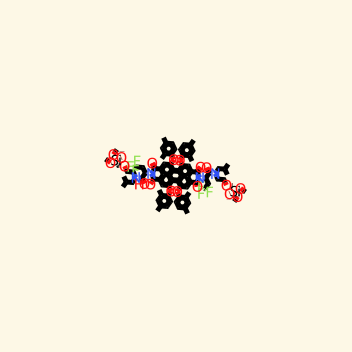 CO[Si](COCCN(CC(C)C)C(=O)C(CC(F)(F)F)N1C(=O)c2cc(Oc3ccc(C)cc3C)c3c4c(Oc5ccc(C)cc5C)cc5c6c(cc(Oc7ccc(C)cc7C)c(c7c(Oc8ccc(C)cc8C)cc(c2c37)C1=O)c64)C(O)N(C(CC(F)(F)F)C(=O)N(CCOC[Si](OC)(OC)OC)CC(C)C)C5=O)(OC)OC